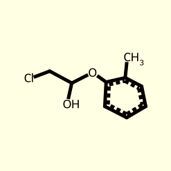 Cc1ccccc1OC(O)CCl